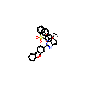 CC1C/C=C(c2ccc3c(c2)S(=O)(=O)c2ccccc2-3)/N=C(c2ccc3c(c2)oc2ccccc23)\N=C/1c1ccccc1